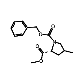 COC(=O)[C@H]1CC(C)CN1C(=O)OCc1ccccc1